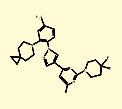 Cc1cc(-c2cnn(-c3ccc(N)cc3N3CCC4(CC3)CC4)c2)nc(N2CCC(F)(F)CC2)n1